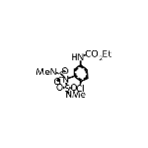 CCOC(=O)Nc1ccc(Cl)c(N(S(=O)(=O)NC)S(=O)(=O)NC)c1